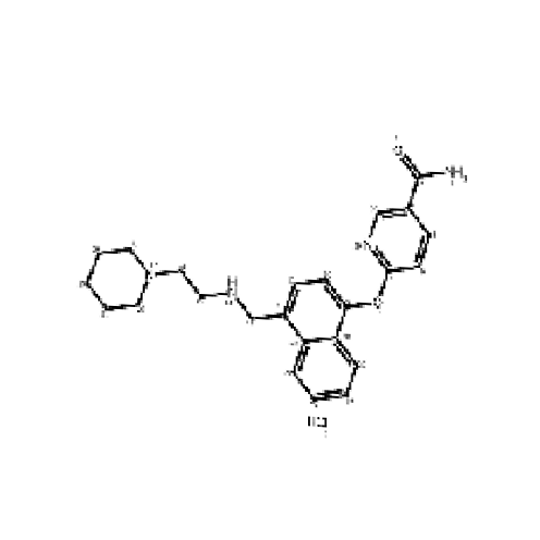 Cl.NC(=O)c1ccc(Oc2ccc(CNCCN3CCCCC3)c3ccccc23)nc1